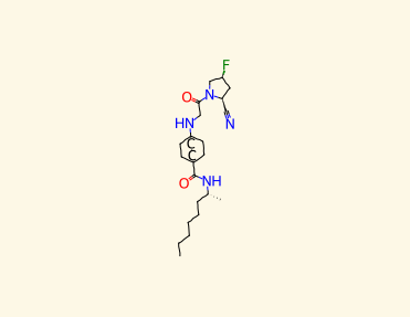 CCCCCC[C@@H](C)NC(=O)C12CCC(NCC(=O)N3C[C@@H](F)C[C@H]3C#N)(CC1)CC2